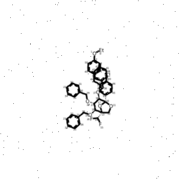 CCOc1ccc(Cc2cc([C@]34OC[C@](C(F)F)(O3)[C@@H](OCc3ccccc3)[C@H](OCc3ccccc3)[C@H]4OCc3ccccc3)ccc2Cl)cc1